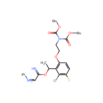 CC(C)/N=C\C(=N)OC(C)c1c(OCCN(C(=O)OC(C)(C)C)C(=O)OC(C)(C)C)ccc(F)c1Cl